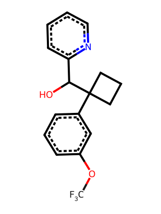 OC(c1ccccn1)C1(c2cccc(OC(F)(F)F)c2)CCC1